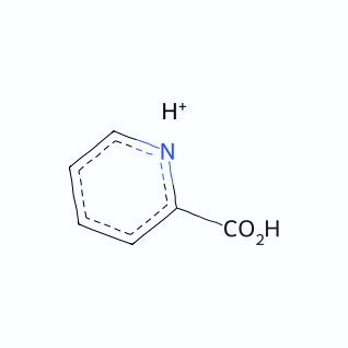 O=C(O)c1ccccn1.[H+]